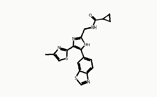 Cc1csc(-c2nc(CNC(=O)C3CC3)[nH]c2-c2ccc3ncsc3c2)n1